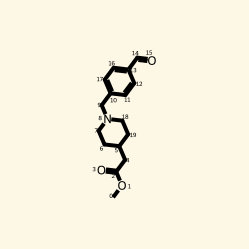 COC(=O)CC1CCN(Cc2ccc(C=O)cc2)CC1